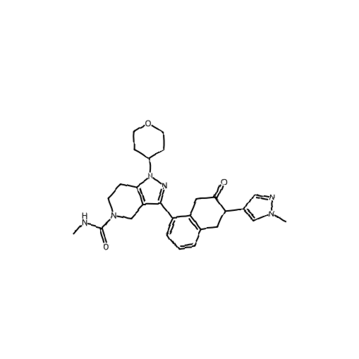 CNC(=O)N1CCc2c(c(-c3cccc4c3CC(=O)C(c3cnn(C)c3)C4)nn2C2CCOCC2)C1